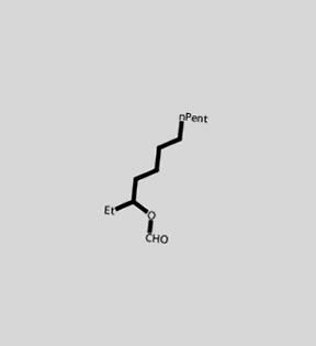 CCCCCCCCCC(CC)OC=O